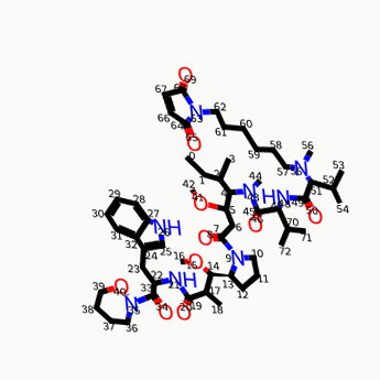 CCC(C)C(C(CC(=O)N1CCC[C@H]1C(OC)C(C)C(=O)NC(Cc1c[nH]c2ccccc12)C(=O)N1CCCCO1)OC)N(C)C(=O)C(NC(=O)C(C(C)C)N(C)CCCCCCN1C(=O)C=CC1=O)C(C)C